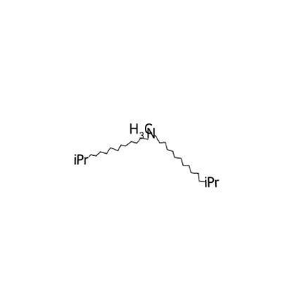 CC(C)CCCCCCCCCCCCN(C)CCCCCCCCCCCCC(C)C